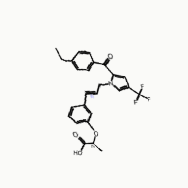 CCc1ccc(C(=O)c2cc(C(F)(F)F)cn2C/C=C/c2cccc(O[C@@H](C)C(=O)O)c2)cc1